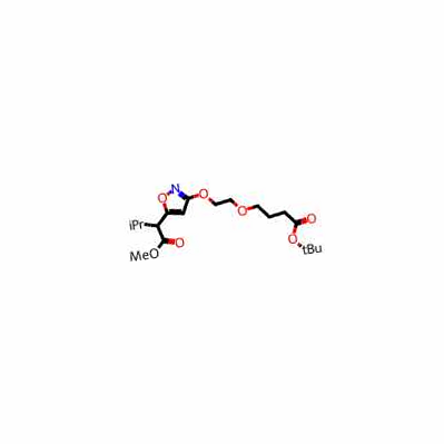 COC(=O)C(c1cc(OCCOCCCC(=O)OC(C)(C)C)no1)C(C)C